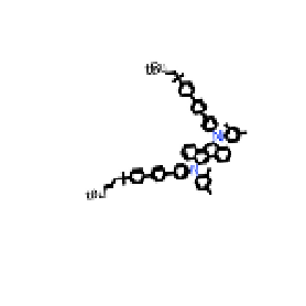 Cc1ccc(N(c2ccc(-c3ccc(-c4ccc(C(C)(C)CCCC(C)(C)C)cc4)cc3)cc2)c2cc3c4ccccc4c(N(c4ccc(-c5ccc(-c6ccc(C(C)(C)CCC(C)(C)C)cc6)cc5)cc4)c4ccc(C)cc4C)cc3c3ccccc23)c(C)c1